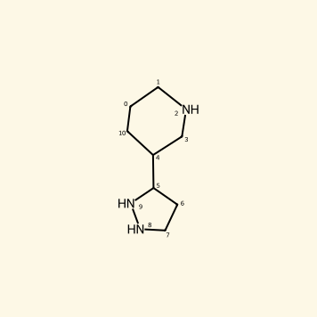 C1CNCC(C2CCNN2)C1